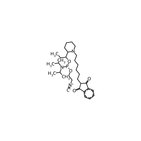 [C-]#[N+]CCOP(OC(CC)C1CCCCN1CCCCCCC1C(=O)c2ccccc2C1=O)N(C(C)C)C(C)C